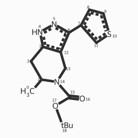 CC1Cc2[nH]nc(-c3ccsc3)c2CN1C(=O)OC(C)(C)C